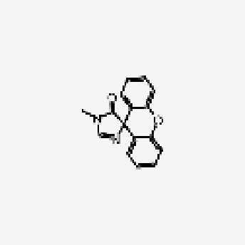 CN1C=NC2(C1=O)c1ccccc1Oc1ccccc12